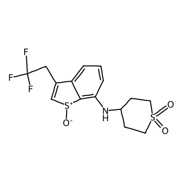 O=S1(=O)CCC(Nc2cccc3c(CC(F)(F)F)c[s+]([O-])c23)CC1